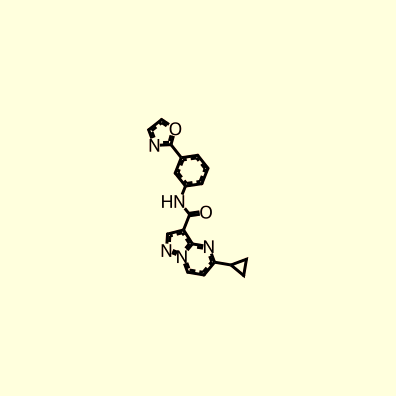 O=C(Nc1cccc(-c2ncco2)c1)c1cnn2ccc(C3CC3)nc12